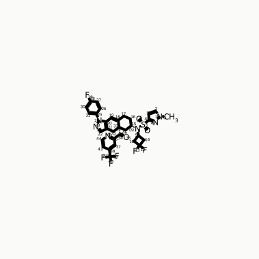 Cn1ccc(S(=O)(=O)N(C2CC(F)(F)C2)[C@H]2CCC3=Cc4c(cnn4-c4ccc(F)cc4)C[C@]3(C(=O)c3cc(C(F)(F)F)ccn3)C2)n1